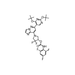 CC(C)(C)Oc1ncc(-c2cc(N3CC(OC(=O)Nc4c(F)cc(F)cc4F)C(F)(F)C3)c3nccn3n2)c(OC(C)(C)C)n1